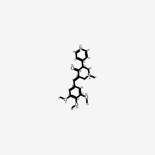 COc1cc(C=C2CN(C)CC(c3ccncc3)C2=O)cc(OC)c1OC